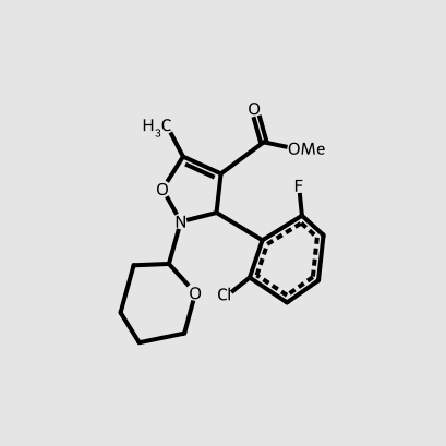 COC(=O)C1=C(C)ON(C2CCCCO2)C1c1c(F)cccc1Cl